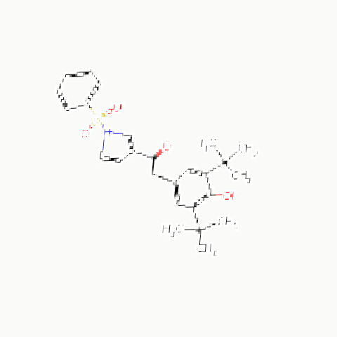 CC(C)(C)c1cc(CC(=O)c2ccn(S(=O)(=O)c3ccccc3)c2)cc(C(C)(C)C)c1O